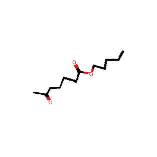 CCCCCOC(=O)CCCCC(C)=O